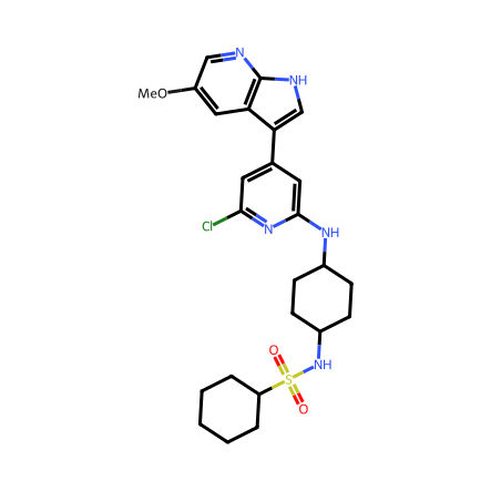 COc1cnc2[nH]cc(-c3cc(Cl)nc(NC4CCC(NS(=O)(=O)C5CCCCC5)CC4)c3)c2c1